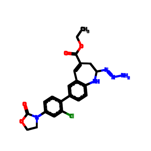 CCOC(=O)C1=Cc2cc(-c3ccc(N4CCOC4=O)cc3Cl)ccc2NC(N=NN)C1